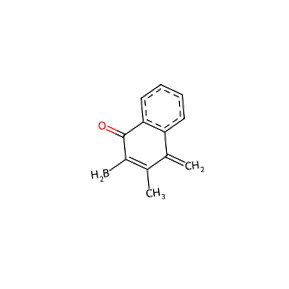 BC1=C(C)C(=C)c2ccccc2C1=O